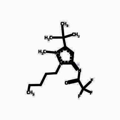 CCCCCn1/c(=N\C(=O)C(F)(F)F)cc(C(C)(C)C)n1C